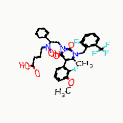 COc1cccc(-c2c(C)n(Cc3c(F)cccc3C(F)(F)F)c(=O)n(CC(c3ccccc3)N(O)CCCC(=O)O)c2=O)c1F